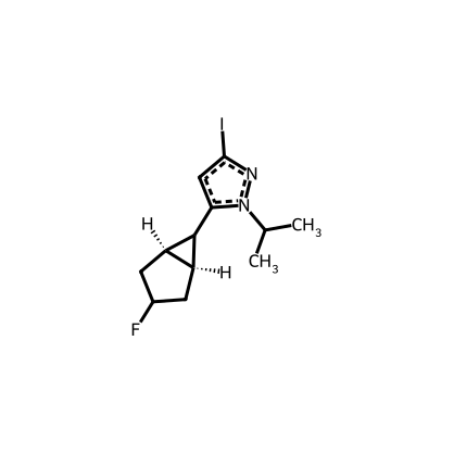 CC(C)n1nc(I)cc1C1[C@H]2CC(F)C[C@@H]12